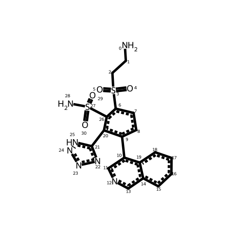 NCCS(=O)(=O)c1ccc(-c2cncc3ccccc23)c(-c2nnn[nH]2)c1S(N)(=O)=O